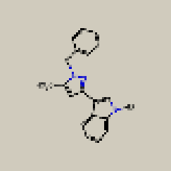 CCn1cc(-c2cc(C(=O)O)n(Cc3ccccc3)n2)c2ccccc21